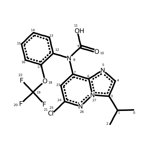 CC(C)c1cnc2c(N(C(=O)O)c3ccccc3OC(F)(F)F)cc(Cl)nn12